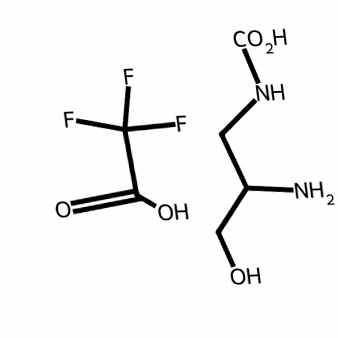 NC(CO)CNC(=O)O.O=C(O)C(F)(F)F